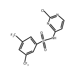 O=S(=O)(Nc1ccnc(Cl)n1)c1cc(C(F)(F)F)cc(C(F)(F)F)c1